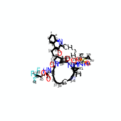 Cc1nc2ccccc2c2c1O[C@]1(CC2)C[C@H]2C(=O)N[C@]3(C(=O)NS(=O)(=O)C4(C)CC4)C[C@H]3/C=C\CCCCC[C@H](NC(=O)OCC(F)(F)F)C(=O)N2C1